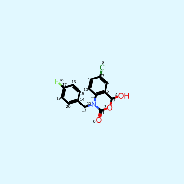 O=C1OC(O)c2cc(Cl)ccc2N1Cc1ccc(F)cc1